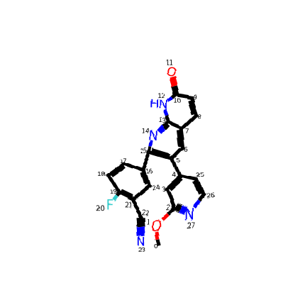 COc1cc(-c2cc3ccc(=O)[nH]c3nc2-c2ccc(F)c(C#N)c2)ccn1